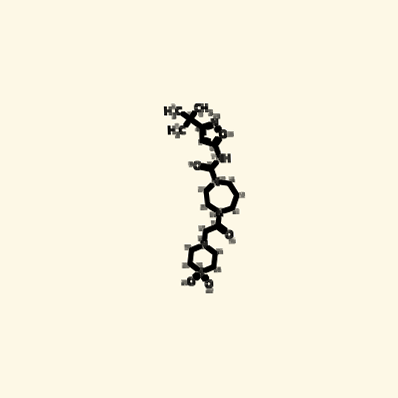 CC(C)(C)c1cc(NC(=O)N2CCCN(C(=O)CN3CCS(=O)(=O)CC3)CC2)on1